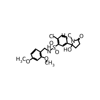 COc1ccc(CNS(=O)(=O)c2cc(C3(O)CCC(=O)N3C)ccc2Cl)c(OC)c1